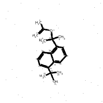 C=C(C)OC(C)(C)c1cccc2c(C(C)(C)O)cccc12